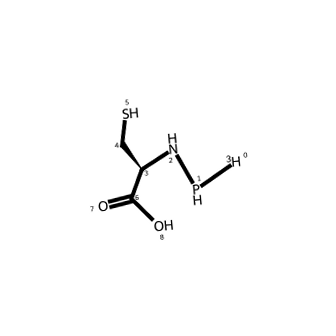 [3H]PN[C@H](CS)C(=O)O